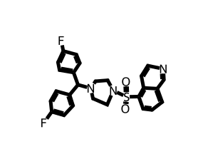 O=S(=O)(c1cccc2cnccc12)N1CCN(C(c2ccc(F)cc2)c2ccc(F)cc2)CC1